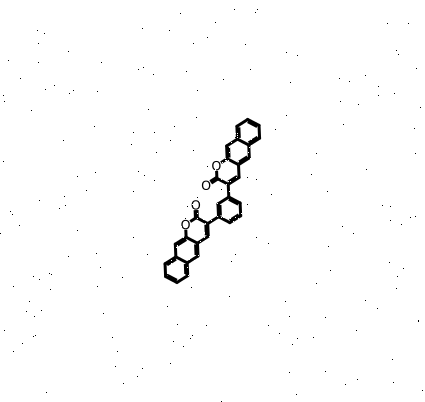 O=c1oc2cc3ccccc3cc2cc1-c1cccc(-c2cc3cc4ccccc4cc3oc2=O)c1